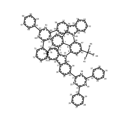 Fc1cccc(F)c1-c1c(-n2c3ccccc3c3ccc(-c4nc(-c5ccccc5)nc(-c5ccccc5)n4)cc32)cc(C(F)(F)F)cc1-n1c2ccccc2c2ccc(-c3nc(-c4ccccc4)nc(-c4ccccc4)n3)cc21